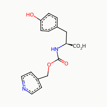 O=C(N[C@@H](Cc1ccc(O)cc1)C(=O)O)OCc1ccncc1